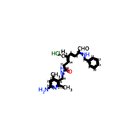 CC(C=CC(C=O)NCc1ccccc1)=CCC(=O)NCc1c(C)cc(N)nc1C.Cl